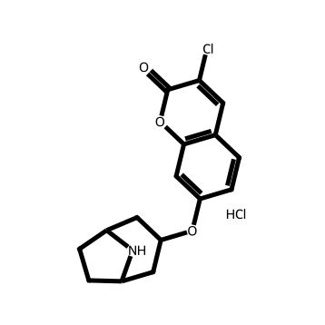 Cl.O=c1oc2cc(OC3CC4CCC(C3)N4)ccc2cc1Cl